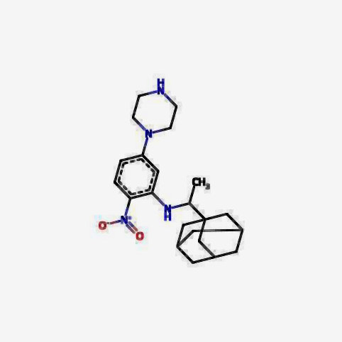 CC(Nc1cc(N2CCNCC2)ccc1[N+](=O)[O-])C12CC3CC(CC(C3)C1)C2